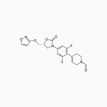 O=CN1CC=C(c2c(F)cc(N3C[C@H](COc4ccon4)OC3=O)cc2F)CC1